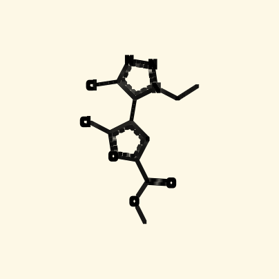 CCn1nnc(Cl)c1-c1cc(C(=O)OC)oc1Cl